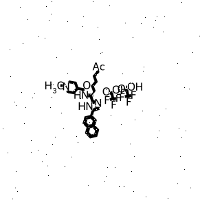 CC(=O)CCCCC[C@H](NC(=O)C1CCN(C)CC1)c1ncc(-c2ccc3ccccc3c2)[nH]1.O=C(O)C(F)(F)F.O=C(O)C(F)(F)F